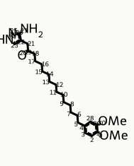 COc1ccc(CCCCCCCCCCCCCCC(=O)Cc2c[nH]nc2N)cc1OC